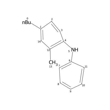 CCCCc1ccc(Nc2ccccc2)c(C)c1